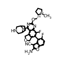 CN1CCC[C@H]1COc1nc(N2C3CCC2CNC3)c2c3c(c(-c4c(F)ccc5oc(N)c(C#N)c45)c(F)c2n1)COC3